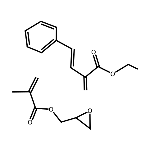 C=C(C)C(=O)OCC1CO1.C=C(C=Cc1ccccc1)C(=O)OCC